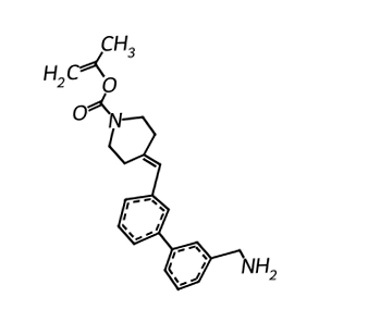 C=C(C)OC(=O)N1CCC(=Cc2cccc(-c3cccc(CN)c3)c2)CC1